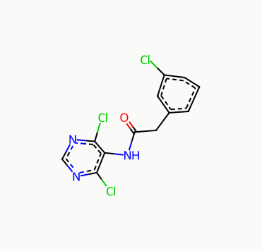 O=C(Cc1cccc(Cl)c1)Nc1c(Cl)ncnc1Cl